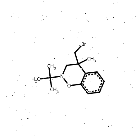 CC1(CBr)CN(C(C)(C)C)Oc2ccccc21